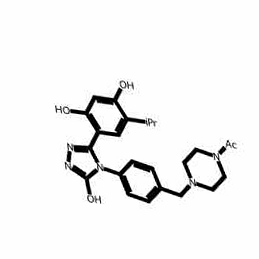 CC(=O)N1CCN(Cc2ccc(-n3c(O)nnc3-c3cc(C(C)C)c(O)cc3O)cc2)CC1